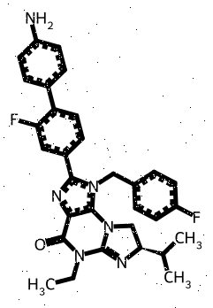 CCN1C(=O)c2nc(-c3ccc(-c4ccc(N)cc4)c(F)c3)n(Cc3ccc(F)cc3)c2N2C[C@@H](C(C)C)N=C12